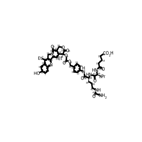 CCc1c2c(nc3ccc(O)cc13)-c1cc3c(c(=O)n1C2)COC(=O)[C@@]3(CC)OC(=O)OCc1ccc(NC(=O)[C@H](CCCNC(N)=O)NC(=O)[C@@H](NC(=O)CCCC(=O)O)C(C)C)cc1